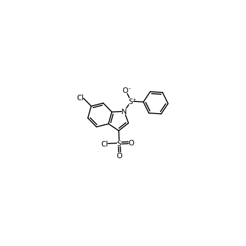 O=S(=O)(Cl)c1cn([S+]([O-])c2ccccc2)c2cc(Cl)ccc12